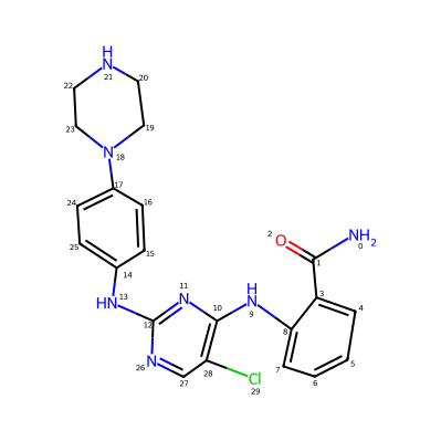 NC(=O)c1ccccc1Nc1nc(Nc2ccc(N3CCNCC3)cc2)ncc1Cl